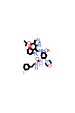 COc1cc(N2CCOCC2)c(NC(=O)NCCc2cccc(F)c2)cc1Nc1c(-c2ncncc2C(=O)OC(C)C)c2ccccc2n1C